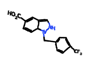 O=C(O)C1=CC2=CNN(Cc3ccc(C(F)(F)F)cc3)C2C=C1